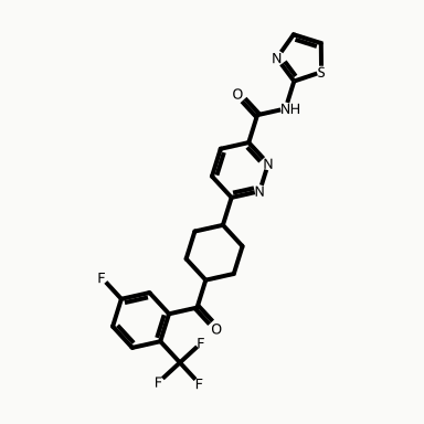 O=C(Nc1nccs1)c1ccc(C2CCC(C(=O)c3cc(F)ccc3C(F)(F)F)CC2)nn1